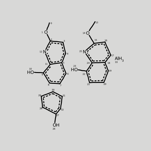 COc1ccc2cccc(O)c2n1.COc1ccc2cccc(O)c2n1.Oc1ccccc1.[AlH3]